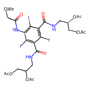 COCC(=O)Nc1c(I)c(C(=O)NCC(COC(C)=O)OC(C)=O)c(I)c(C(=O)NCC(COC(C)=O)OC(C)=O)c1I